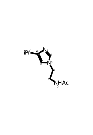 CC(=O)NCCn1cnc(C(C)C)c1